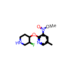 CO[N+](=O)c1cc(C)cnc1OC1CCNCC1F